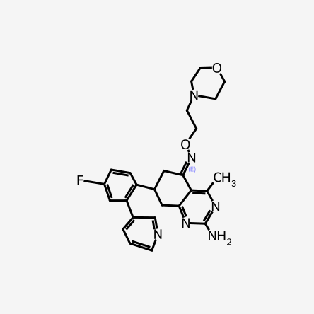 Cc1nc(N)nc2c1/C(=N/OCCN1CCOCC1)CC(c1ccc(F)cc1-c1cccnc1)C2